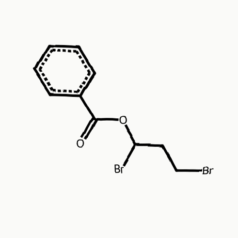 O=C(OC(Br)CCBr)c1ccccc1